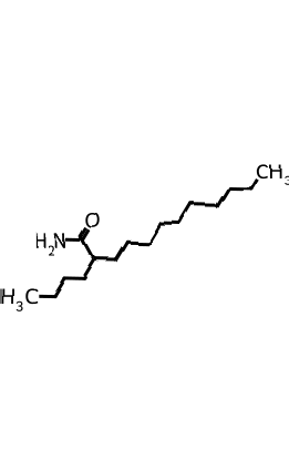 CCCCCCCCCCC(CCCC)C(N)=O